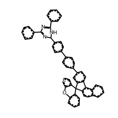 c1ccc(C2=NC(c3ccc(-c4ccc(-c5ccc6c(c5)C5(c7ccccc7Oc7ccccc75)c5ccc7ccccc7c5-6)cc4)cc3)NC(c3ccccc3)=N2)cc1